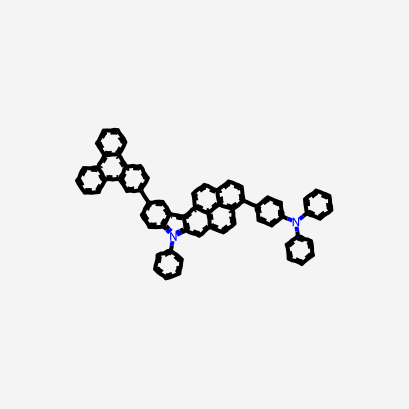 c1ccc(N(c2ccccc2)c2ccc(-c3ccc4ccc5c6c(ccc3c46)cc3c5c4cc(-c5ccc6c7ccccc7c7ccccc7c6c5)ccc4n3-c3ccccc3)cc2)cc1